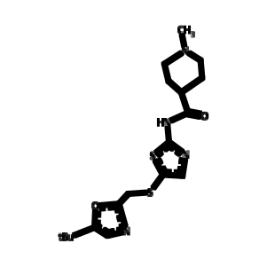 CN1CCC(C(=O)Nc2ncc(SCc3ncc(C(C)(C)C)o3)s2)CC1